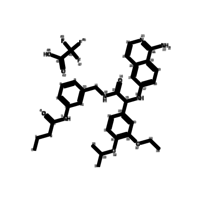 CCCC(=O)Nc1cccc(CNC(=O)C(Nc2ccc3c(N)nccc3c2)c2ccc(OC(C)C)c(OCC)c2)c1.O=C(O)C(F)(F)F